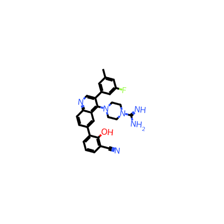 Cc1cc(F)cc(-c2cnc3ccc(-c4cccc(C#N)c4O)cc3c2N2CCN(C(=N)N)CC2)c1